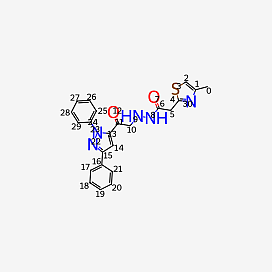 Cc1csc(CC(=O)NNCC(=O)c2cc(-c3ccccc3)nn2-c2ccccc2)n1